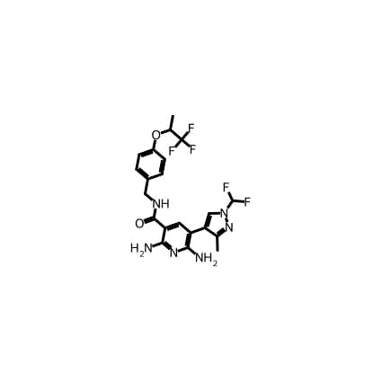 Cc1nn(C(F)F)cc1-c1cc(C(=O)NCc2ccc(OC(C)C(F)(F)F)cc2)c(N)nc1N